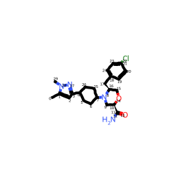 Cc1cc(C2CCC(N3C[C@H](C(N)=O)OC[C@@H]3Cc3ccc(Cl)cc3)CC2)nn1C